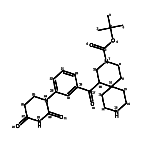 CC(C)(C)OC(=O)N1CCC2(CCNCC2)C(C(=O)c2cccc(N3CCC(=O)NC3=O)c2)C1